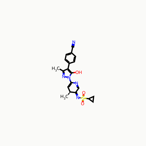 Cc1nn(C2=C[C@H](C)C(=NS(=O)(=O)C3CC3)C=N2)c(O)c1-c1ccc(C#N)cc1